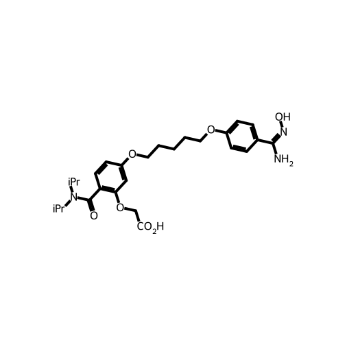 CC(C)N(C(=O)c1ccc(OCCCCCOc2ccc(/C(N)=N\O)cc2)cc1OCC(=O)O)C(C)C